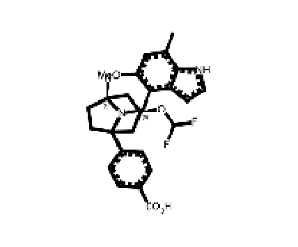 COc1cc(C)c2[nH]ccc2c1CN1[C@@H]2CCC1(c1ccc(C(=O)O)cc1)C[C@H](OC(F)F)C2